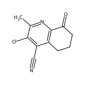 Cc1nc2c(c(C#N)c1Cl)CCCC2=O